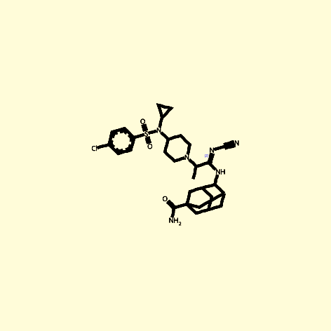 CC(/C(=N/C#N)NC1C2CC3CC1CC(C(N)=O)(C3)C2)N1CCC(N(C2CC2)S(=O)(=O)c2ccc(Cl)cc2)CC1